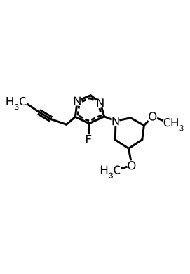 CC#CCc1ncnc(N2CC(OC)CC(OC)C2)c1F